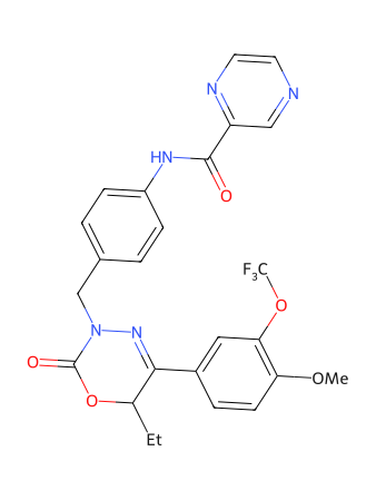 CCC1OC(=O)N(Cc2ccc(NC(=O)c3cnccn3)cc2)N=C1c1ccc(OC)c(OC(F)(F)F)c1